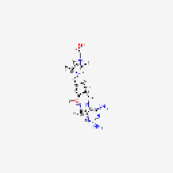 COc1cc(CN2C[C@@H]3C[C@H]2CN3CCO)ccc1Cn1nc(C)c2nc(N)nc(N)c21